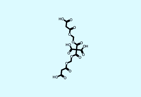 O=C(O)CC(=O)OCOC(=O)C(C(=O)O)(C(=O)O)C(=O)OCOC(=O)CC(=O)O